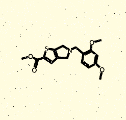 COC(=O)c1cc2c(s1)CN(Cc1ccc(OC)cc1OC)C2